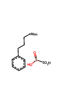 CCCCCCCCCCCCc1ccccc1.O=S(O)S(=O)(=O)O